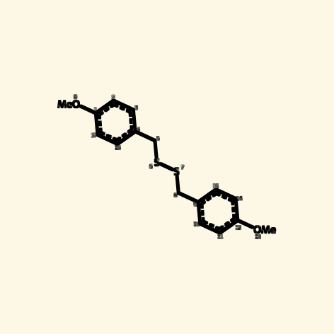 COc1ccc(CSSCc2ccc(OC)cc2)cc1